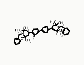 CC1(C)C=C(c2ccc(-c3ccc(C4CC(C)(C)N(Cc5ccccc5)C(C)(C)C4)c(F)c3)cc2)CC(C)(C)N1Cc1ccccc1